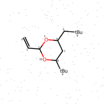 C=CC1OC(CC(C)(C)C)CC(C(C)(C)C)O1